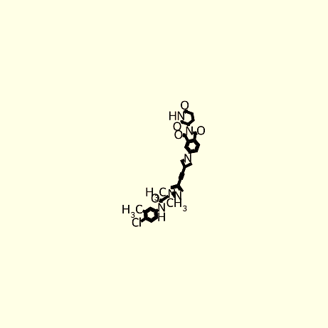 Cc1cc(NC(=O)C(C)(C)n2cc(C#CC3CN(c4ccc5c(c4)C(=O)N(C4CCC(=O)NC4=O)C5=O)C3)cn2)ccc1Cl